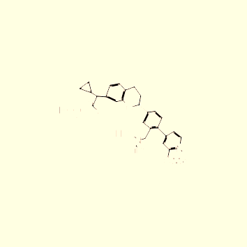 COc1cc(-c2ccc([C@@H]3CCc4ccc(C(C5CC5)[C@H](C)C(=O)O)cc4O3)cc2CN(C)C(C)C)ccn1